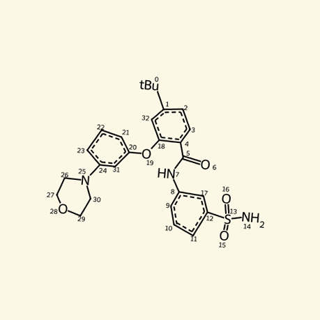 CC(C)(C)c1ccc(C(=O)Nc2cccc(S(N)(=O)=O)c2)c(Oc2cccc(N3CCOCC3)c2)c1